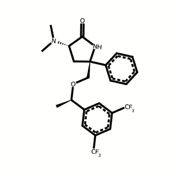 C[C@@H](OC[C@@]1(c2ccccc2)C[C@H](N(C)C)C(=O)N1)c1cc(C(F)(F)F)cc(C(F)(F)F)c1